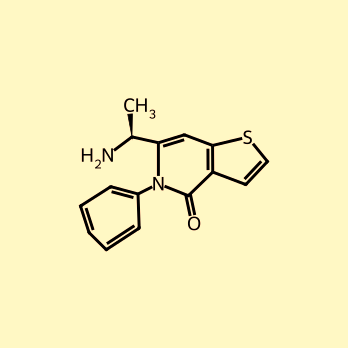 C[C@H](N)c1cc2sccc2c(=O)n1-c1ccccc1